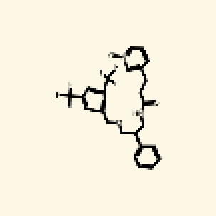 O=C(CCc1ccc[n+]([O-])c1)NCC(COCc1cc(C(F)(F)F)cc(C(F)(F)F)c1)c1ccccc1